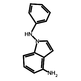 Nc1cccc2c1ccn2Nc1ccccc1